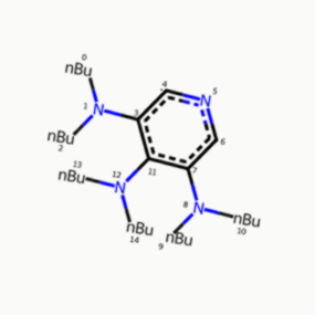 CCCCN(CCCC)c1[c]ncc(N(CCCC)CCCC)c1N(CCCC)CCCC